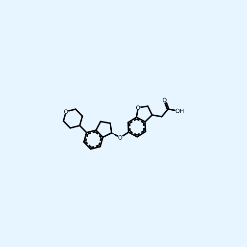 O=C(O)CC1COc2cc(O[C@@H]3CCc4c(C5CCOCC5)cccc43)ccc21